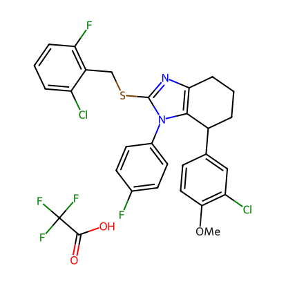 COc1ccc(C2CCCc3nc(SCc4c(F)cccc4Cl)n(-c4ccc(F)cc4)c32)cc1Cl.O=C(O)C(F)(F)F